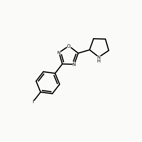 Ic1ccc(-c2noc(C3CCCN3)n2)cc1